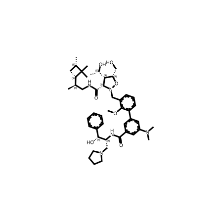 COc1c(CN2O[C@@H](CO)[C@@H]([C@H](C)O)[C@H]2C(=O)NC[C@@H](C)[C@@H]2C[C@H](C)C2(C)C)cccc1-c1cc(C(=O)N[C@H](CN2CCCC2)[C@H](O)c2ccccc2)cc(N(C)C)c1